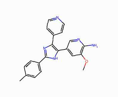 COc1cc(-c2[nH]c(-c3ccc(C)cc3)nc2-c2ccncc2)cnc1N